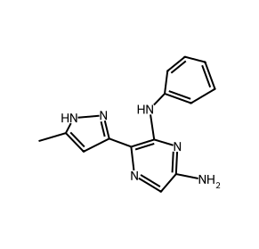 Cc1cc(-c2ncc(N)nc2Nc2ccccc2)n[nH]1